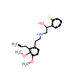 C=CCc1c(CCNCC(O)c2ccccc2F)ccc(OC)c1OC